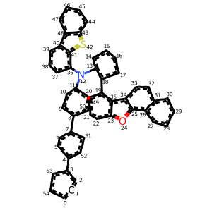 c1ccc(-c2ccc(-c3ccc(N(c4ccccc4-c4cccc5oc6c7ccccc7ccc6c45)c4cccc5c4sc4ccccc45)cc3)cc2)cc1